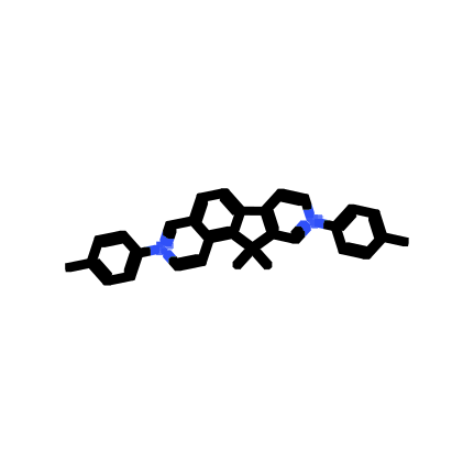 Cc1ccc(-[n+]2ccc3c(c2)C(C)(C)c2c-3ccc3c[n+](-c4ccc(C)cc4)ccc23)cc1